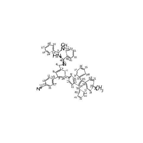 C=NC(N/C(=N\Cc1cc(-c2ccc(C#N)cc2)cc(-c2ccc(/C(=C(/C3=CCC(C)C=C3)c3ccccc3)c3ccccc3)cc2)c1)c1ccccc1)c1ccccc1